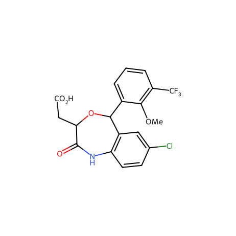 COc1c(C2OC(CC(=O)O)C(=O)Nc3ccc(Cl)cc32)cccc1C(F)(F)F